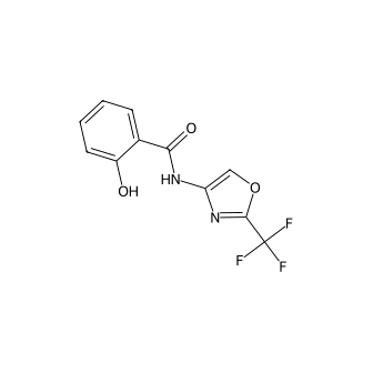 O=C(Nc1coc(C(F)(F)F)n1)c1ccccc1O